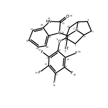 CCC(N1C2CCC1CC(Oc1c(F)c(F)c(F)c(F)c1F)C2)n1c(=O)[nH]c2ccccc21